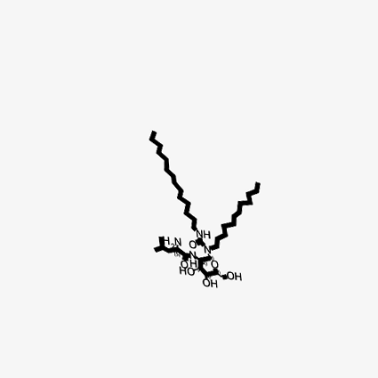 CCCCCCCCCCCCCCNC(=O)N(CCCCCCCCCCCC)[C@@H]1O[C@H](CO)[C@@H](O)[C@H](O)[C@H]1NC(=O)[C@@H](N)CC(C)C